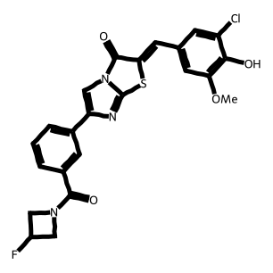 COc1cc(/C=c2\sc3nc(-c4cccc(C(=O)N5CC(F)C5)c4)cn3c2=O)cc(Cl)c1O